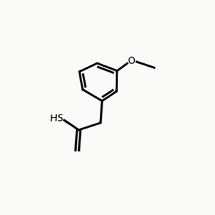 C=C(S)Cc1cccc(OC)c1